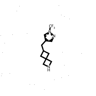 FC(F)(F)n1cc(CC2CC3(CNC3)C2)cn1